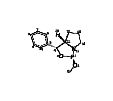 CO[P@@]1O[C@H](c2ccccc2)[C@@H]2CCCN21